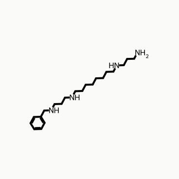 NCCCNCCCCCCCCNCCCNCc1ccccc1